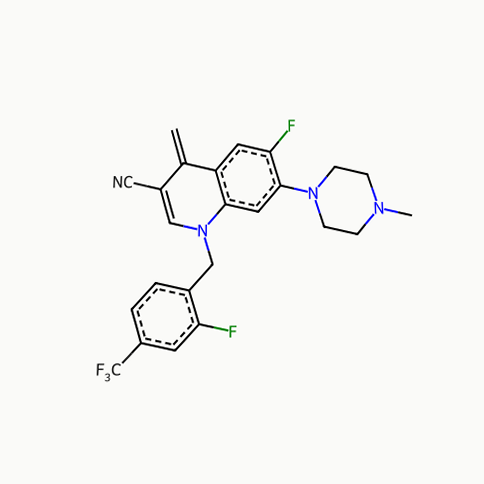 C=C1C(C#N)=CN(Cc2ccc(C(F)(F)F)cc2F)c2cc(N3CCN(C)CC3)c(F)cc21